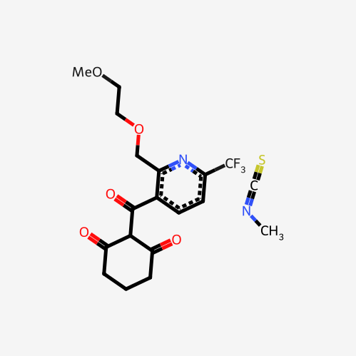 CN=C=S.COCCOCc1nc(C(F)(F)F)ccc1C(=O)C1C(=O)CCCC1=O